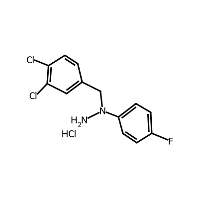 Cl.NN(Cc1ccc(Cl)c(Cl)c1)c1ccc(F)cc1